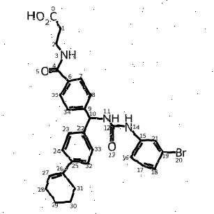 O=C(O)CCNC(=O)c1ccc(C(NC(=O)Nc2cccc(Br)c2)c2ccc(C3=CCCCC3)cc2)cc1